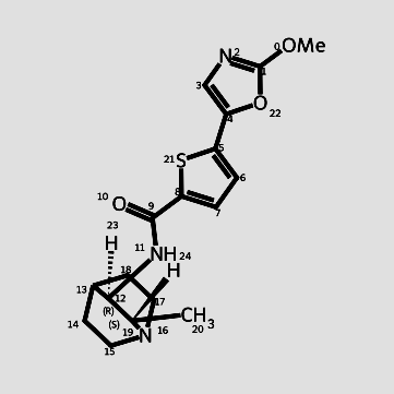 COc1ncc(-c2ccc(C(=O)N[C@@H]3C4CCN(CC4)[C@H]3C)s2)o1